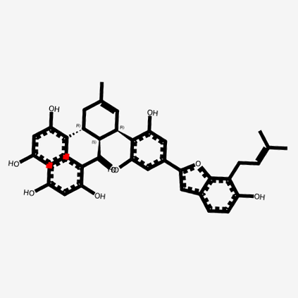 CC(C)=CCc1c(O)ccc2cc(-c3cc(O)c([C@@H]4C=C(C)C[C@@H](c5ccc(O)cc5O)[C@@H]4C(=O)c4ccc(O)cc4O)c(O)c3)oc12